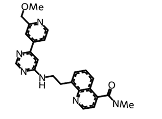 CNC(=O)c1ccnc2c(CCNc3cc(-c4ccnc(COC)c4)ncn3)cccc12